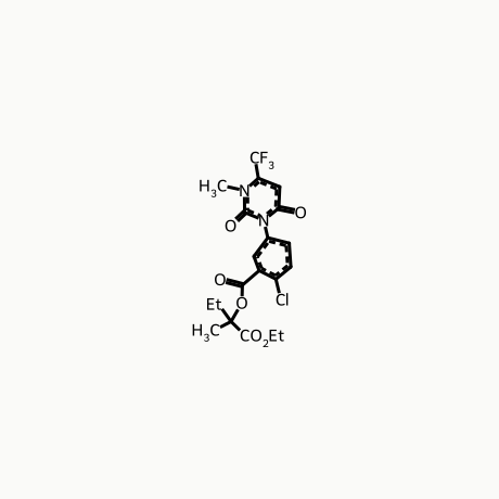 CCOC(=O)C(C)(CC)OC(=O)c1cc(-n2c(=O)cc(C(F)(F)F)n(C)c2=O)ccc1Cl